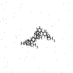 COc1ccc(-c2cccc3cnc(Nc4ccc(N5CCNCC5C)cc4)nc23)cc1